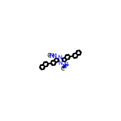 [C-]#[N+]/N=c1/c2cc(-c3ccc4ccccc4c3)ccc2c2nc3/c(=N/[N+]#[C-])c4cc(-c5ccc6ccccc6c5)ccc4c3nc12